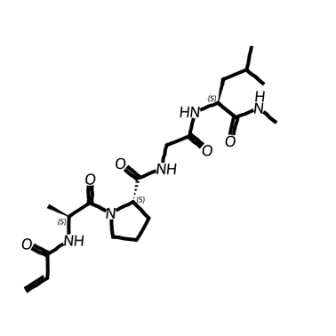 C=CC(=O)N[C@@H](C)C(=O)N1CCC[C@H]1C(=O)NCC(=O)N[C@@H](CC(C)C)C(=O)NC